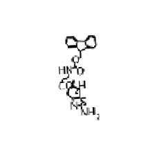 Nc1nc2ccc(C[C@H](CC(=O)O)NC(=O)OCC3c4ccccc4-c4ccccc43)cc2s1